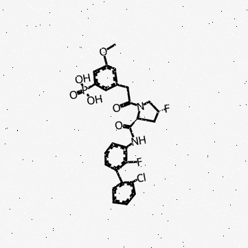 COc1cc(CC(=O)N2C[C@H](F)C[C@H]2C(=O)Nc2cccc(-c3ccccc3Cl)c2F)cc(P(=O)(O)O)c1